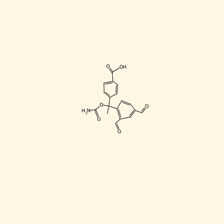 CC(OC(N)=O)(c1ccc(C(=O)O)cc1)c1ccc(C=O)cc1C=O